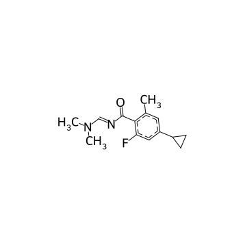 Cc1cc(C2CC2)cc(F)c1C(=O)/N=C/N(C)C